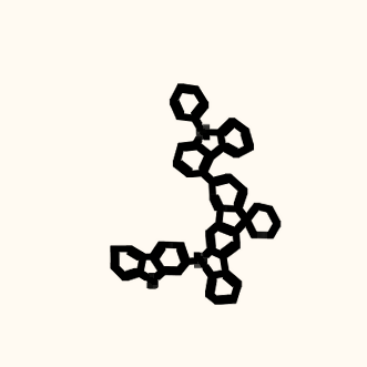 c1ccc(-n2c3ccccc3c3c(-c4ccc5c(c4)-c4cc6c(cc4C54CCCCC4)c4ccccc4n6-c4ccc5c(c4)sc4ccccc45)cccc32)cc1